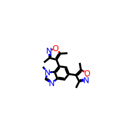 Cc1noc(C)c1-c1cc(-c2c(C)noc2C)c2c(c1)ncn2C